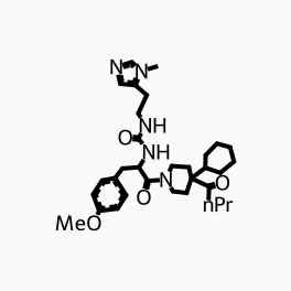 CCCC(=O)C1(C2CCCCC2)CCN(C(=O)C(Cc2ccc(OC)cc2)NC(=O)NCCc2cncn2C)CC1